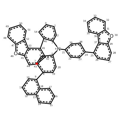 c1ccc(N(c2ccc(-c3cccc4ccccc34)cc2)c2ccc(-c3cccc4oc5ccccc5c34)cc2)c(-c2cccc3oc4ccccc4c23)c1